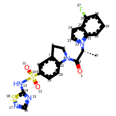 C[C@H](C(=O)N1CCc2cc(S(=O)(=O)Nc3ncns3)ccc21)n1ccc2c(F)cccc21